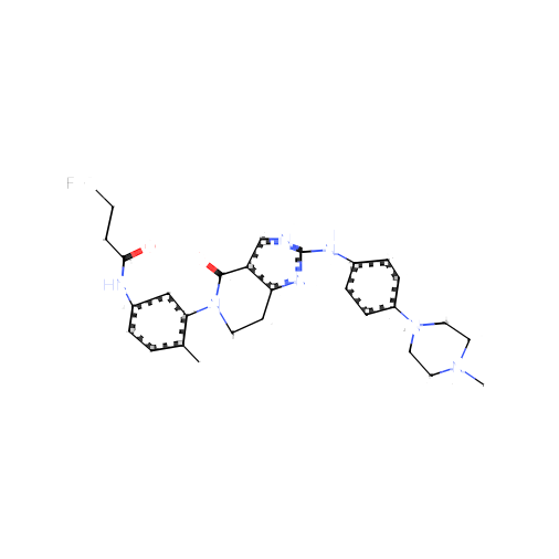 Cc1ccc(NC(=O)CCC(F)(F)F)cc1N1CCc2nc(Nc3ccc(N4CCN(C)CC4)cc3)ncc2C1=O